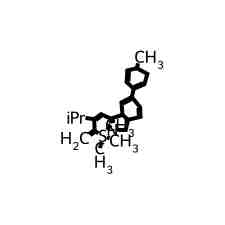 C=C(/C(=C\C1=NCC2C=CC(C3=CCC(C)C=C3)=CC12)C(C)C)S(C)(C)C